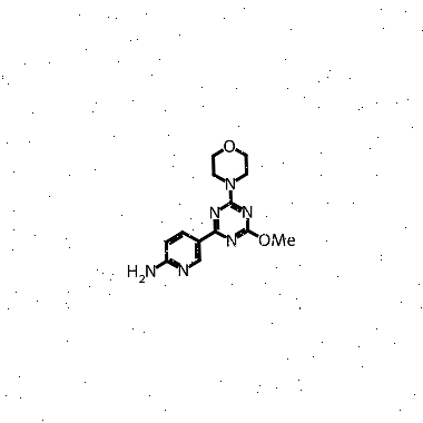 COc1nc(-c2ccc(N)nc2)nc(N2CCOCC2)n1